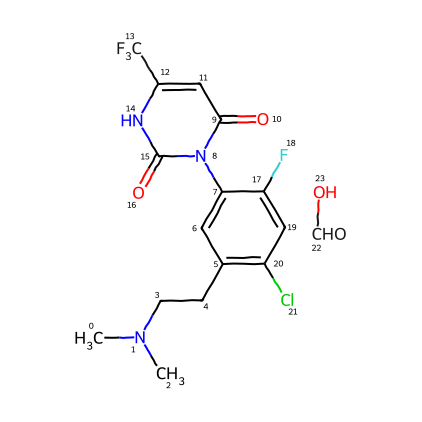 CN(C)CCc1cc(-n2c(=O)cc(C(F)(F)F)[nH]c2=O)c(F)cc1Cl.O=CO